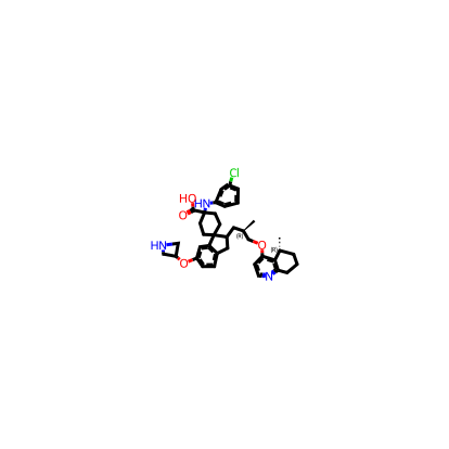 C[C@@H](COc1ccnc2c1[C@H](C)CCC2)CC1Cc2ccc(OC3CNC3)cc2C12CCC(Nc1cccc(Cl)c1)(C(=O)O)CC2